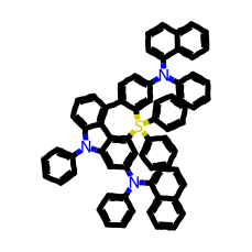 c1ccc(N(c2ccc3c(c2)S(c2ccccc2)(c2ccccc2)c2cc(N(c4ccccc4)c4cccc5ccccc45)cc4c2c2c-3cccc2n4-c2ccccc2)c2cccc3ccccc23)cc1